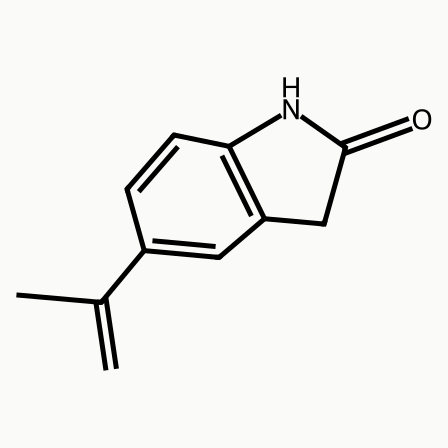 C=C(C)c1ccc2c(c1)CC(=O)N2